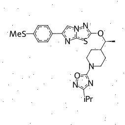 CSc1ccc(-c2cn3nc(O[C@@H](C)C4CCN(c5nc(C(C)C)no5)CC4)sc3n2)cc1